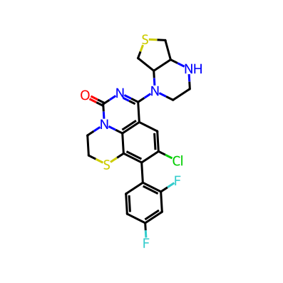 O=c1nc(N2CCNC3CSCC32)c2cc(Cl)c(-c3ccc(F)cc3F)c3c2n1CCS3